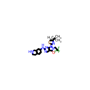 CC(C)(C)c1csc(-n2c3nc(Nc4ccc5c(c4)CNCC5)ncc3c(=O)n2CC(F)(F)F)n1